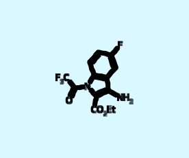 CCOC(=O)c1c(N)c2cc(F)ccc2n1C(=O)C(F)(F)F